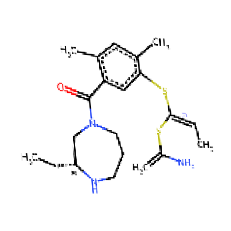 C=C(N)S/C(=C\C)Sc1cc(C(=O)N2CCCN[C@H](CC)C2)c(C)cc1C